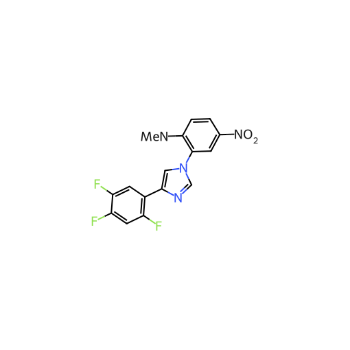 CNc1ccc([N+](=O)[O-])cc1-n1cnc(-c2cc(F)c(F)cc2F)c1